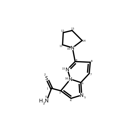 NC(=S)c1cnc2ccc(N3CCCC3)nn12